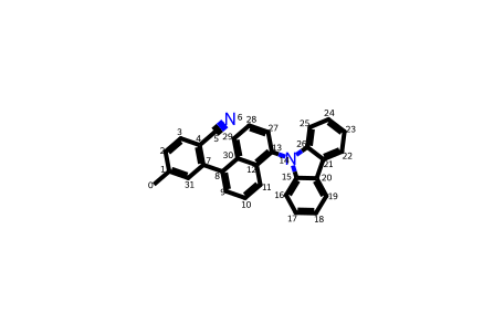 Cc1ccc(C#N)c(-c2cccc3c(-n4c5ccccc5c5ccccc54)cccc23)c1